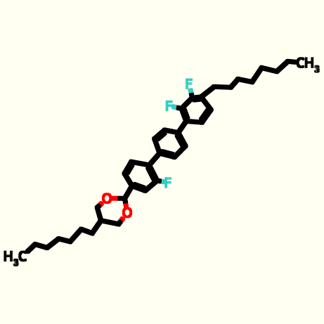 CCCCCCCCc1ccc(-c2ccc(-c3ccc(C4OCC(CCCCCCC)CO4)cc3F)cc2)c(F)c1F